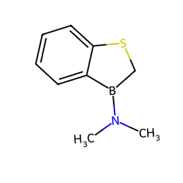 CN(C)B1CSc2ccccc21